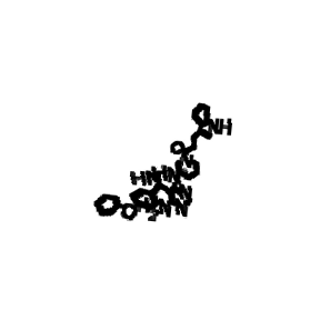 N=C(c1ccc(Oc2ccccc2)cc1)c1c(N)ncnc1N[C@@H]1CCCN(C(=O)CCc2c[nH]c3ccccc23)C1